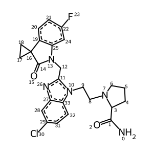 NC(=O)C1CCCN1CCn1c(CN2C(=O)C3(CC3)c3ccc(F)cc32)nc2cc(Cl)ccc21